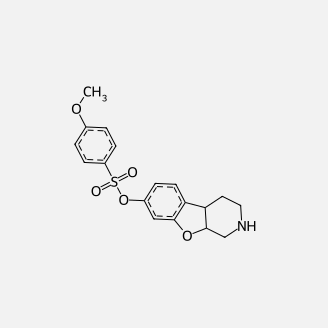 COc1ccc(S(=O)(=O)Oc2ccc3c(c2)OC2CNCCC32)cc1